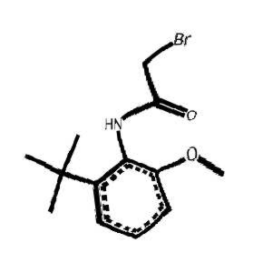 COc1cccc(C(C)(C)C)c1NC(=O)CBr